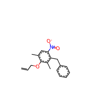 C=CCOc1c(C)cc([N+](=O)[O-])c(Cc2ccccc2)c1C